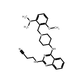 COc1cccc(N(C)C)c1CN1CCC(Nc2nc(NCCC#N)nc3ccccc23)CC1